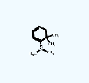 C[SiH](C)C1=CC=CCC1(C)C